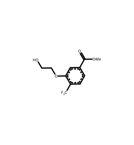 COC(=O)c1ccc(C(F)(F)F)c(OCCO)c1